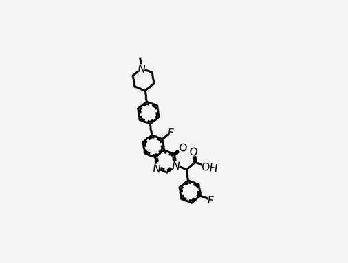 CN1CCC(c2ccc(-c3ccc4ncn(C(C(=O)O)c5cccc(F)c5)c(=O)c4c3F)cc2)CC1